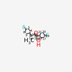 CC[C@H](c1ccc(F)cc1)C1O[C@]1(CO)c1ccc(F)cc1